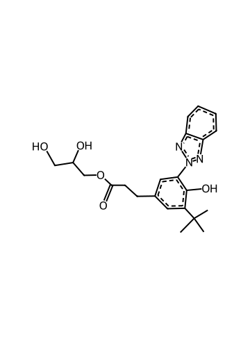 CC(C)(C)c1cc(CCC(=O)OCC(O)CO)cc(-n2nc3ccccc3n2)c1O